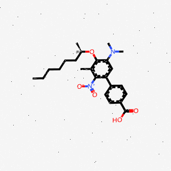 CCCCCC[C@@H](C)Oc1c(N(C)C)cc(-c2ccc(C(=O)O)cc2)c([N+](=O)[O-])c1C